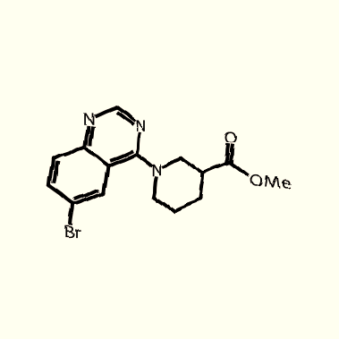 COC(=O)C1CCCN(c2ncnc3ccc(Br)cc23)C1